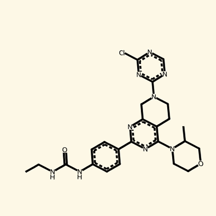 CCNC(=O)Nc1ccc(-c2nc3c(c(N4CCOCC4C)n2)CCN(c2ncnc(Cl)n2)C3)cc1